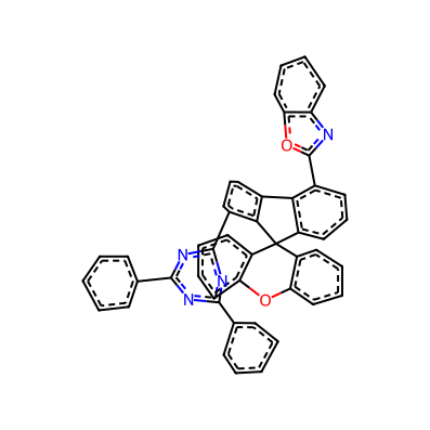 c1ccc(-c2nc(-c3ccccc3)nc(-c3cccc4c3C3(c5ccccc5Oc5ccccc53)c3cccc(-c5nc6ccccc6o5)c3-4)n2)cc1